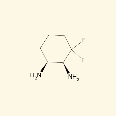 N[C@H]1CCCC(F)(F)[C@H]1N